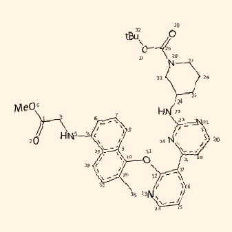 COC(=O)CNc1cccc2c(Oc3ncccc3-c3ccnc(NC4CCCN(C(=O)OC(C)(C)C)C4)n3)c(C)ccc12